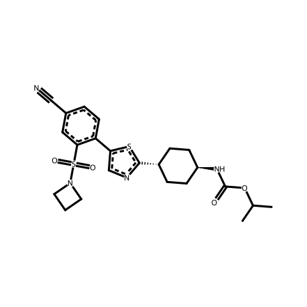 CC(C)OC(=O)N[C@H]1CC[C@H](c2ncc(-c3ccc(C#N)cc3S(=O)(=O)N3CCC3)s2)CC1